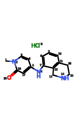 Cl.Cn1ccc(Nc2cccc3c2CNCC3)cc1=O